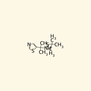 CC(C)(C)SNC(C)(C)c1cncs1